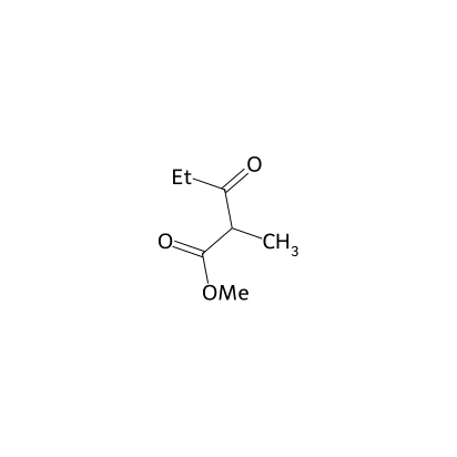 CCC(=O)C(C)C(=O)OC